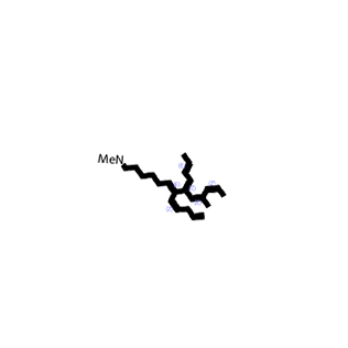 C=CC\C=C/C(=C\CCCCCNC)C(/C=C(C)\C=C/C)=C\C=C\C